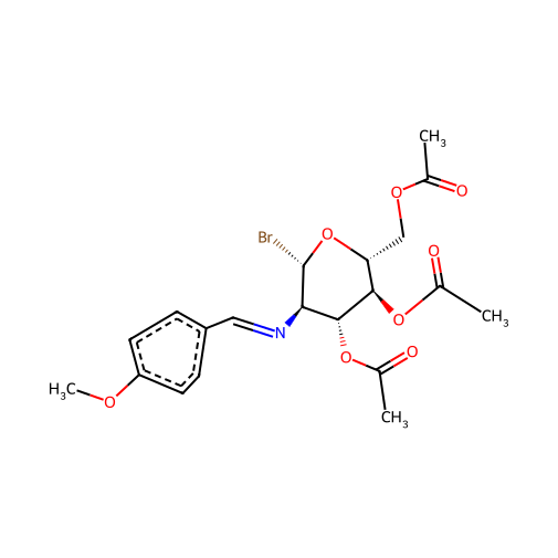 COc1ccc(C=N[C@@H]2[C@@H](OC(C)=O)[C@H](OC(C)=O)[C@@H](COC(C)=O)O[C@H]2Br)cc1